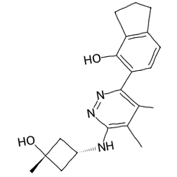 Cc1c(N[C@H]2C[C@@](C)(O)C2)nnc(-c2ccc3c(c2O)CCC3)c1C